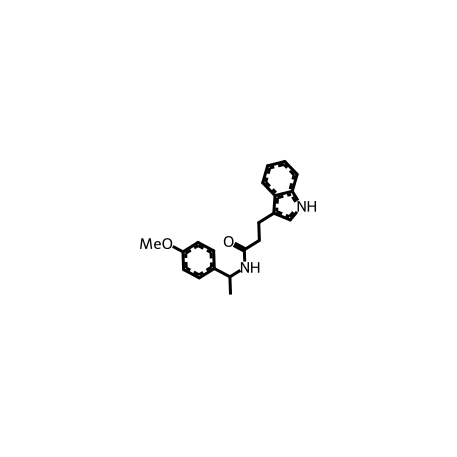 COc1ccc(C(C)NC(=O)CCc2c[nH]c3ccccc23)cc1